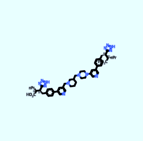 CCC[C@H](C(=O)O)[C@H](Cc1ccc(-c2cncc(CN3CCCC(CN4CCN(c5cncc(-c6ccc(C[C@H](c7nn[nH]n7)[C@H](CCC)C(=O)O)cc6)c5)CC4)C3)c2)cc1)c1nn[nH]n1